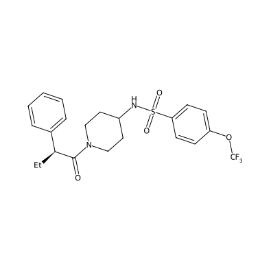 CC[C@H](C(=O)N1CCC(NS(=O)(=O)c2ccc(OC(F)(F)F)cc2)CC1)c1ccccc1